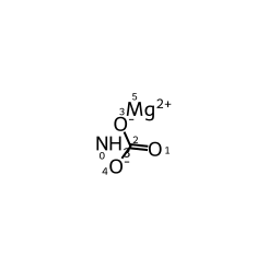 N.O=C([O-])[O-].[Mg+2]